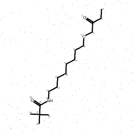 CCC(=O)COCCCCCCCCNC(=O)C(C)(C)C